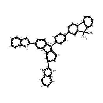 CC1(C)c2ccccc2-c2ccc(-c3ccc(-n4c5ccc(-c6nc7ccccc7o6)cc5c5cc(-c6nc7ccccc7o6)ccc54)cc3)cc21